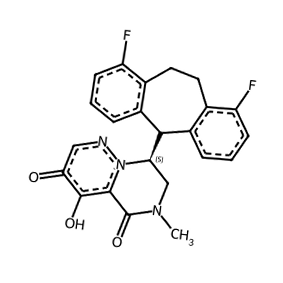 CN1C[C@H](C2c3cccc(F)c3CCc3c(F)cccc32)n2ncc(=O)c(O)c2C1=O